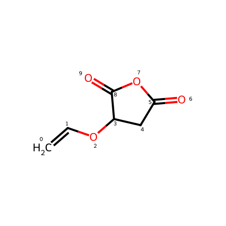 C=COC1CC(=O)OC1=O